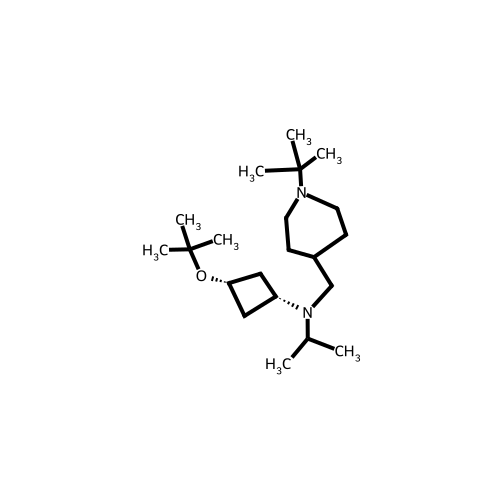 CC(C)N(CC1CCN(C(C)(C)C)CC1)[C@H]1C[C@@H](OC(C)(C)C)C1